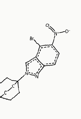 O=[N+]([O-])c1ccc2nn(C34CCC(CC3)CC4)cc2c1Br